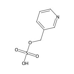 O=S(=O)(O)OCc1cccnc1